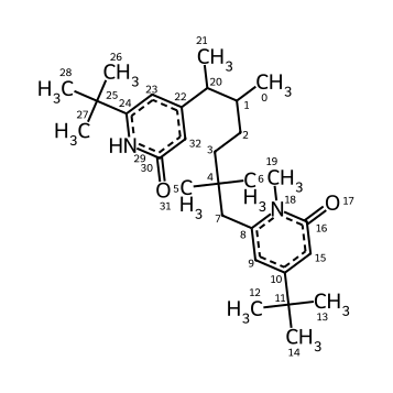 CC(CCC(C)(C)Cc1cc(C(C)(C)C)cc(=O)n1C)C(C)c1cc(C(C)(C)C)[nH]c(=O)c1